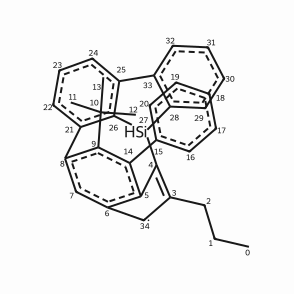 CCCC1=C2c3c(cc(c(C(C)(C)C)c3-c3ccccc3)-c3cccc4c3[SiH]2c2ccccc2-4)[CH]1